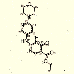 CCOC(=O)c1cnc(Nc2ccc(N3CCOCC3)nc2)[nH]c1=O